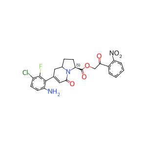 Nc1ccc(Cl)c(F)c1C1=CC(=O)N2C(CC[C@H]2C(=O)OCC(=O)c2ccccc2[N+](=O)[O-])C1